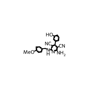 COc1ccc(CNc2nc(N)c(C#N)c(-c3cccc(O)c3)c2C#N)cc1